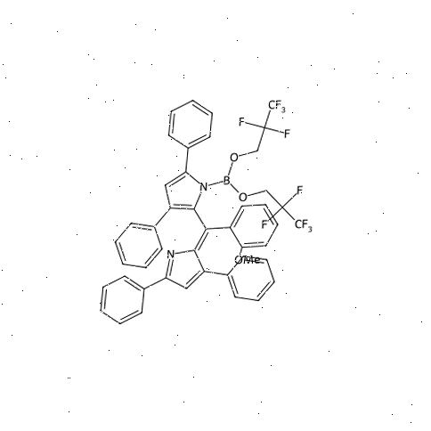 COc1ccccc1/C(=C1/N=C(c2ccccc2)C=C1c1ccccc1)c1c(-c2ccccc2)cc(-c2ccccc2)n1B(OCC(F)(F)C(F)(F)F)OCC(F)(F)C(F)(F)F